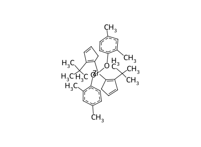 Cc1ccc([O][Zr]([O]c2ccc(C)cc2C)([C]2=C(C(C)(C)C)C=CC2)[C]2=C(C(C)(C)C)C=CC2)c(C)c1